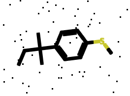 CCC(C)(C)c1ccc(SC)cc1